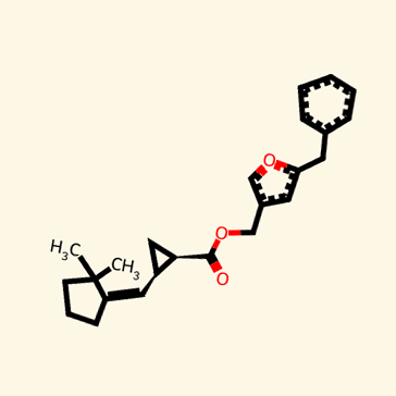 CC1(C)CCCC1=C[C@H]1C[C@H]1C(=O)OCc1coc(Cc2ccccc2)c1